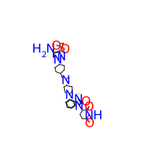 CN(CC1CCC(n2cc(N)c(S(C)(=O)=O)n2)CC1)C1CCN(c2cccc3c2n(C)c(=O)n3C2CCC(=O)NC2=O)CC1